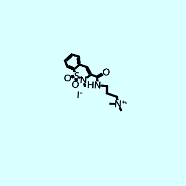 CN1C(C(=O)NCCC[N+](C)(C)C)=Cc2ccccc2S1(=O)=O.[I-]